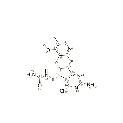 COc1c(C)cnc(CN2CC(CNC(N)=O)c3c(Cl)nc(N)nc32)c1C